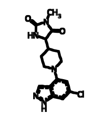 CN1C(=O)NC(C2CCN(c3cc(Cl)cc4[nH]ncc34)CC2)C1=O